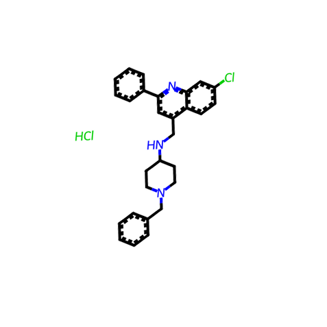 Cl.Clc1ccc2c(CNC3CCN(Cc4ccccc4)CC3)cc(-c3ccccc3)nc2c1